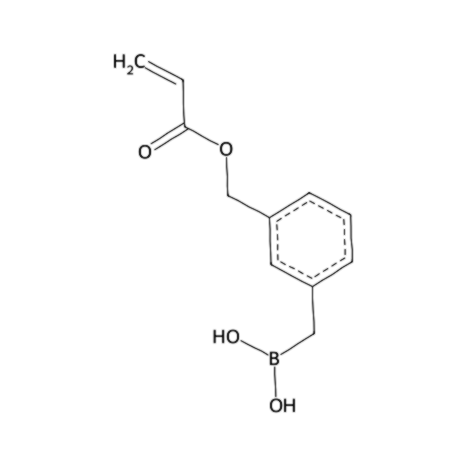 C=CC(=O)OCc1cccc(CB(O)O)c1